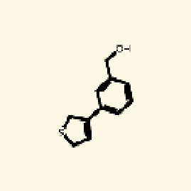 OCc1cccc(C2=CCSC2)c1